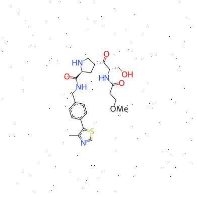 COCCC(=O)N[C@@H](CO)C(=O)[C@H]1CN[C@H](C(=O)NCc2ccc(-c3scnc3C)cc2)C1